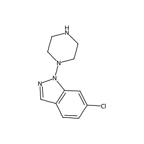 Clc1ccc2cnn(N3CCNCC3)c2c1